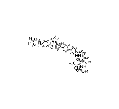 CCN(CC)[C@H]1CC[C@@H](C(=O)N2CCC[C@H]2c2ncc(-c3ccc(-c4ccc(-c5cnc([C@@H]6CCCN6C(=O)[C@@H](NC(=O)O)C(C)C)[nH]5)cc4)cc3)[nH]2)CC1